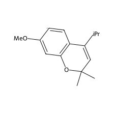 COc1[c]cc2c(c1)OC(C)(C)C=C2C(C)C